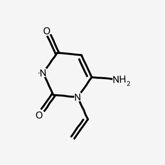 C=CN1C(=O)[N]C(=O)C=C1N